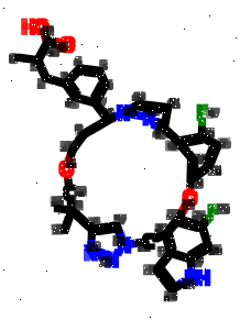 CC(Cc1cccc(C2CCOCC(C)(C)c3cn(nn3)Cc3c(c(F)cc4[nH]ccc34)Oc3ccc(F)c(c3)-c3ccn2n3)c1)C(=O)O